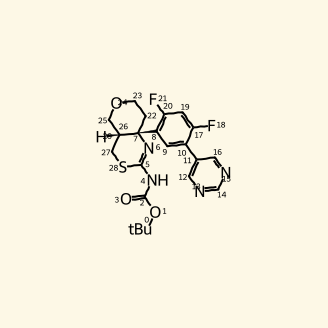 CC(C)(C)OC(=O)NC1=N[C@@]2(c3cc(-c4cncnc4)c(F)cc3F)CCOC[C@H]2CS1